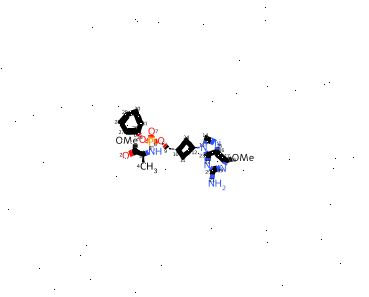 COC(=O)[C@H](C)NP(=O)(OC[C@H]1C[C@@H](n2cnc3c(OC)nc(N)nc32)C1)Oc1ccccc1